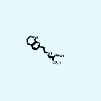 N=N/C(=C\NCCc1ccc2c(n1)NCCC2)C(=O)O